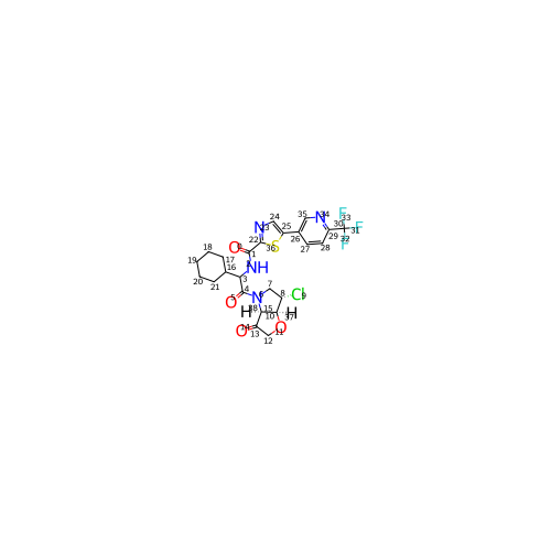 O=C(NC(C(=O)N1C[C@H](Cl)[C@H]2OCC(=O)[C@H]21)C1CCCCC1)c1ncc(-c2ccc(C(F)(F)F)nc2)s1